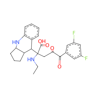 CCNC(CC(=O)C(=O)c1cc(F)cc(F)c1)(C(=O)O)C1c2ccccc2NC2CCCC21